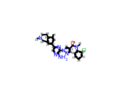 Cc1cc(-c2cnc(N)c(-n3cc(C(=O)N(C)c4ccccc4Cl)cn3)n2)cc2c1CCN(C)C2